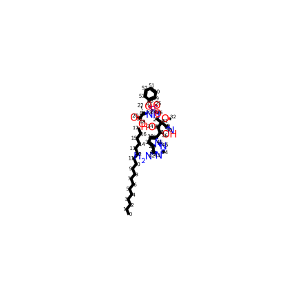 CCCCCCCCCCCCCCCCCCOC(=O)[C@H](C)NP(=O)(OCC(C#N)(OC)[C@@H](O)[C@@H](O)c1ccc2c(N)ncnn12)Oc1ccccc1